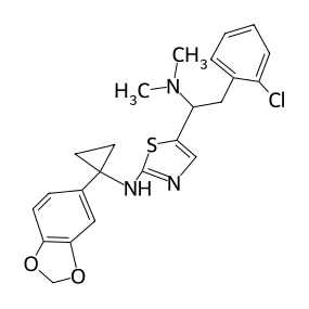 CN(C)C(Cc1ccccc1Cl)c1cnc(NC2(c3ccc4c(c3)OCO4)CC2)s1